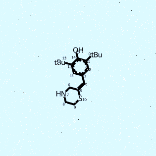 CC(C)(C)c1cc(C=C2CNCCS2)cc(C(C)(C)C)c1O